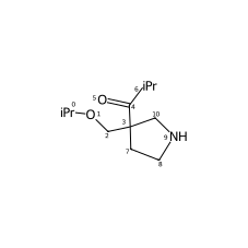 CC(C)OCC1(C(=O)C(C)C)CCNC1